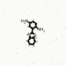 Nc1ccc(N)c(-c2nc3ccccc3s2)c1